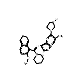 COc1ccc2c(c1C(=O)N1CCCC[C@H]1c1cc3nc(N4CC[C@H](N)C4)c(C)cn3n1)=CCCC=2